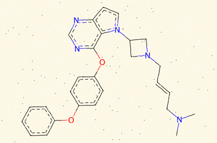 CN(C)CC=CCN1CC(n2ccc3ncnc(Oc4ccc(Oc5ccccc5)cc4)c32)C1